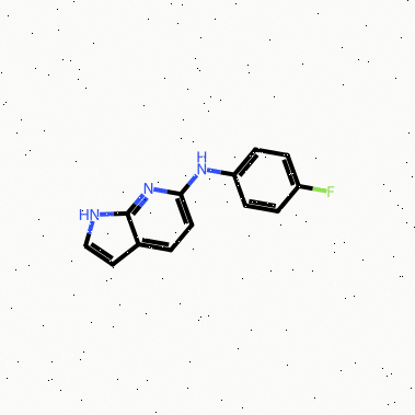 Fc1ccc(Nc2ccc3cc[nH]c3n2)cc1